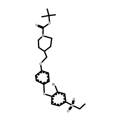 CCS(=O)(=O)c1ccc(Oc2ccc(OCC3CCN(C(=O)OC(C)(C)C)CC3)cc2)c(Br)c1